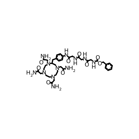 NC(=O)CN1CCN(CC(N)=O)CCN(CC(N)=O)C(Cc2ccc(NC(=O)CNC(=O)CNC(=O)CNC(=O)OCc3ccccc3)cc2)CN(CC(N)=O)CC1